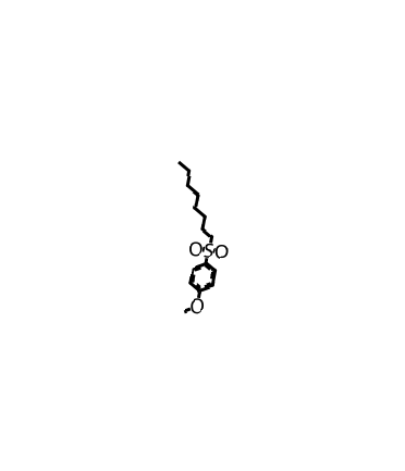 CCCCCCCCS(=O)(=O)c1ccc(OC)cc1